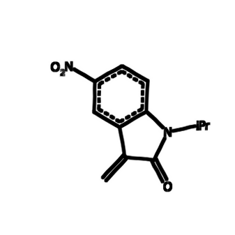 C=C1C(=O)N(C(C)C)c2ccc([N+](=O)[O-])cc21